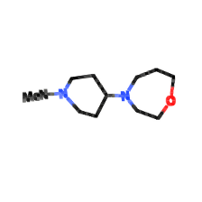 CNN1CCC(N2CCCOCC2)CC1